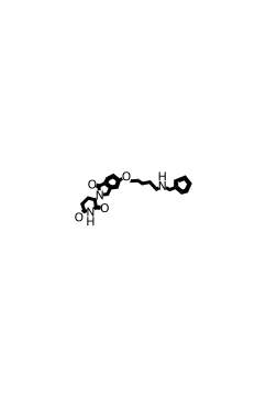 O=C1CCC(N2Cc3cc(OCCCCCNCc4ccccc4)ccc3C2=O)C(=O)N1